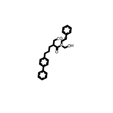 O=C(O)CC(CCCc1ccc(-c2ccccc2)cc1)C(=O)N(CO)CCc1ccccc1